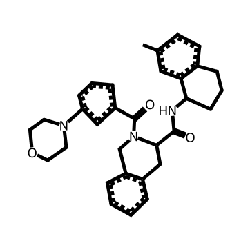 Cc1ccc2c(c1)C(NC(=O)C1Cc3ccccc3CN1C(=O)c1cccc(N3CCOCC3)c1)CCC2